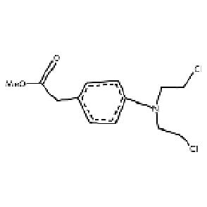 COC(=O)Cc1ccc(N(CCCl)CCCl)cc1